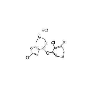 CN1CCC(Oc2cccc(Br)c2Cl)c2cc(Cl)sc2C1.Cl